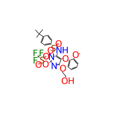 COc1ccccc1Oc1c(NS(=O)(=O)c2ccc(C(C)(C)C)cc2)nc(OS(=O)(=O)C(F)(F)F)nc1OCCO